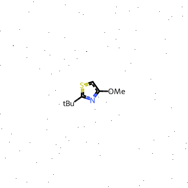 COc1csc(C(C)(C)C)n1